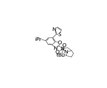 CC(C)c1cc(-c2nccs2)c2oc(N3CC4CCC(C3)N4C(=O)OC(C)(C)C)nc2c1